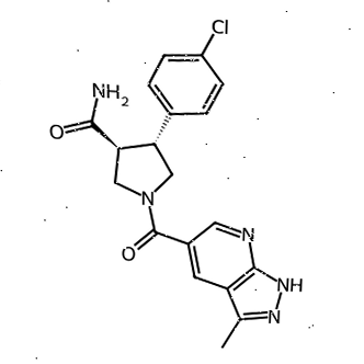 Cc1n[nH]c2ncc(C(=O)N3C[C@@H](C(N)=O)[C@H](c4ccc(Cl)cc4)C3)cc12